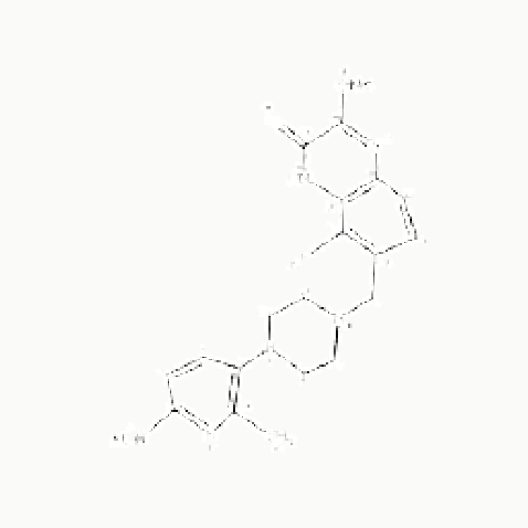 CNc1ccc(N2CCN(Cc3ccc4nc(OC)c(=O)[nH]c4c3F)CC2)c(C)n1